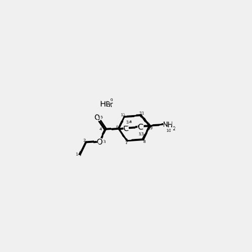 Br.CCOC(=O)C12CCC(N)(CC1)CC2